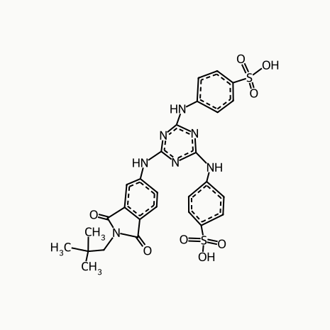 CC(C)(C)CN1C(=O)c2ccc(Nc3nc(Nc4ccc(S(=O)(=O)O)cc4)nc(Nc4ccc(S(=O)(=O)O)cc4)n3)cc2C1=O